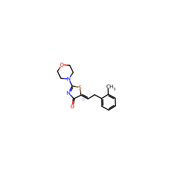 Cc1ccccc1C/C=C1\SC(N2CCOCC2)=NC1=O